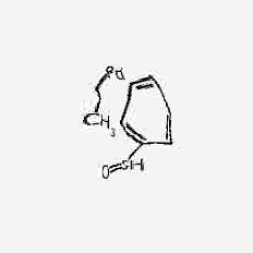 C[CH2][Pd].O=[SH]c1ccccc1